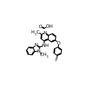 Cc1cc(Nc2nc3ccccc3n2C)c2cc(Oc3ccc(F)cc3)ccc2n1.O=CO